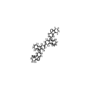 c1ccc2c(c1)oc1ccc(-n3c4ccc(-c5ccc6c(c5)c5ccccc5n6-c5ccc6oc7cccnc7c6c5)cc4c4ncccc43)cc12